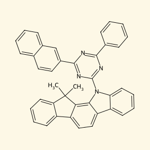 CC1(C)c2ccccc2-c2ccc3c4ccccc4n(-c4nc(-c5ccccc5)nc(-c5ccc6ccccc6c5)n4)c3c21